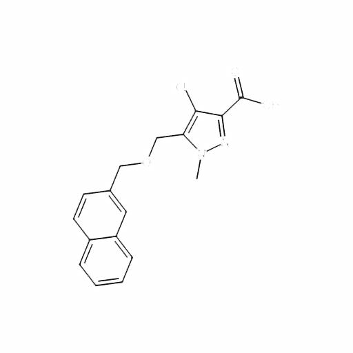 Cn1nc(C(=O)O)c(Cl)c1COCc1ccc2ccccc2c1